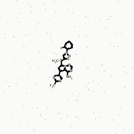 C[C@H](c1cn(-c2ccccc2F)nn1)c1cc(-c2cnc(C(F)(F)F)nc2)c2c(N)ncnn12